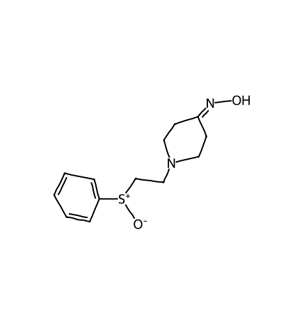 [O-][S+](CCN1CCC(=NO)CC1)c1ccccc1